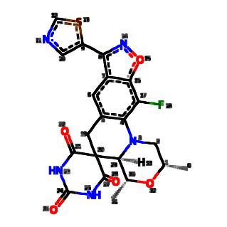 C[C@H]1CN2c3c(cc4c(-c5cncs5)noc4c3F)CC3(C(=O)NC(=O)NC3=O)[C@@H]2[C@@H](C)O1